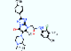 CCc1c(N2CCN(C(=O)O)[C@H](C)C2)c(=O)n2nc(C3=CCC(OC)CC3)nc2n1CC(=O)Nc1ccc(C(C)(C)C)c(C(F)(F)F)c1Cl